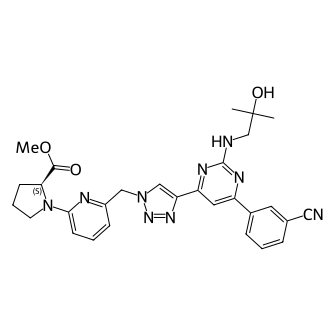 COC(=O)[C@@H]1CCCN1c1cccc(Cn2cc(-c3cc(-c4cccc(C#N)c4)nc(NCC(C)(C)O)n3)nn2)n1